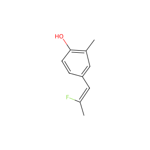 CC(F)=Cc1ccc(O)c(C)c1